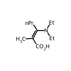 CCCC(=C(C)C(=O)O)N(CC)CC